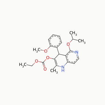 CCOC(=O)OC1=C(C)Nc2ccnc(OC(C)C)c2C1c1ccccc1OC